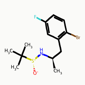 C[C@H](Cc1cc(F)ccc1Br)N[S@+]([O-])C(C)(C)C